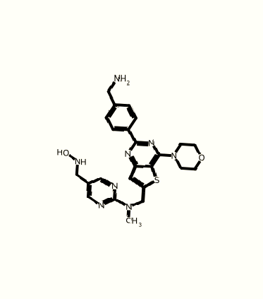 CN(Cc1cc2nc(-c3ccc(CN)cc3)nc(N3CCOCC3)c2s1)c1ncc(CNO)cn1